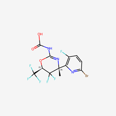 C[C@]1(c2nc(Br)ccc2F)N=C(NC(=O)O)O[C@H](C(F)(F)F)C1(F)F